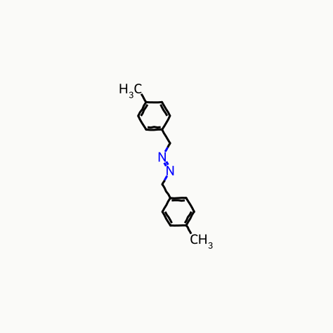 Cc1ccc(CN=NCc2ccc(C)cc2)cc1